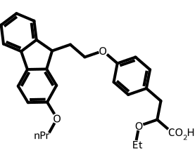 CCCOc1ccc2c(c1)C(CCOc1ccc(CC(OCC)C(=O)O)cc1)c1ccccc1-2